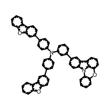 c1cc(-c2ccc3c(c2)c2cccc4c2n3-c2ccccc2O4)cc(N(c2ccc(-c3ccc4c(c3)oc3ccccc34)cc2)c2ccc(-c3ccc4oc5ccccc5c4c3)cc2)c1